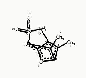 Cc1c2c3oc1c(C)c3S(=O)(=O)N2